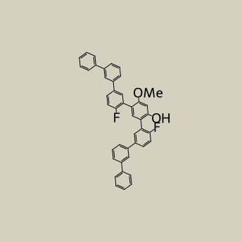 COc1cc(O)c(-c2cc(-c3cccc(-c4ccccc4)c3)ccc2F)cc1-c1cc(-c2cccc(-c3ccccc3)c2)ccc1F